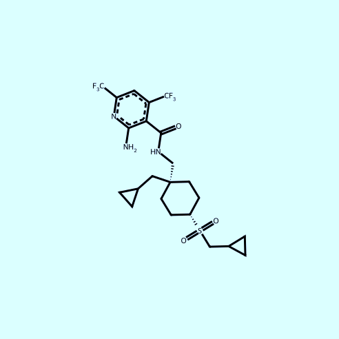 Nc1nc(C(F)(F)F)cc(C(F)(F)F)c1C(=O)NC[C@]1(CC2CC2)CC[C@H](S(=O)(=O)CC2CC2)CC1